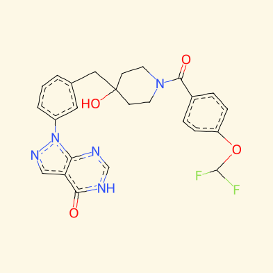 O=C(c1ccc(OC(F)F)cc1)N1CCC(O)(Cc2cccc(-n3ncc4c(=O)[nH]cnc43)c2)CC1